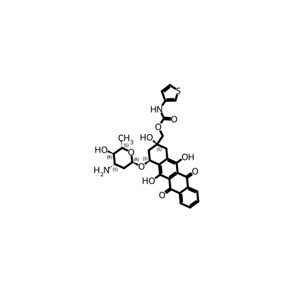 C[C@@H]1O[C@@H](O[C@H]2C[C@](O)(COC(=O)Nc3ccsc3)Cc3c(O)c4c(c(O)c32)C(=O)c2ccccc2C4=O)C[C@H](N)[C@H]1O